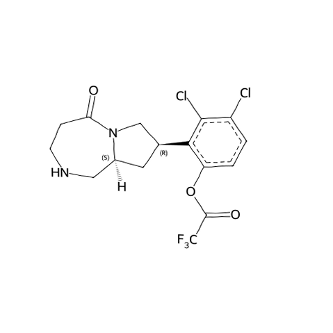 O=C1CCNC[C@@H]2C[C@H](c3c(OC(=O)C(F)(F)F)ccc(Cl)c3Cl)CN12